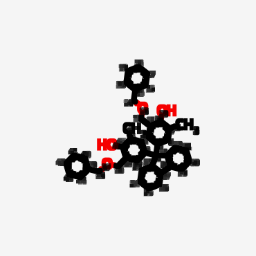 Cc1cc(C2(c3cc(C)c(O)c(COCc4ccccc4)c3)c3ccccc3-c3ccccc32)cc(COCc2ccccc2)c1O